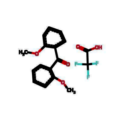 COc1ccccc1C(=O)c1ccccc1OC.O=C(O)C(F)(F)F